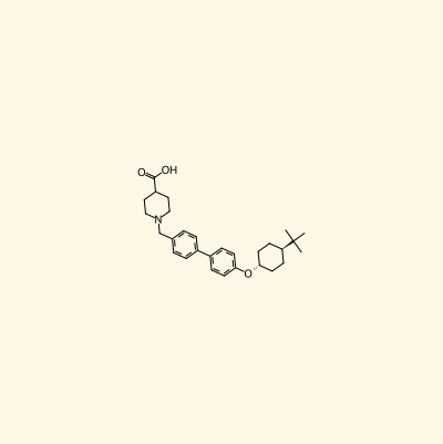 CC(C)(C)[C@H]1CC[C@H](Oc2ccc(-c3ccc(CN4CCC(C(=O)O)CC4)cc3)cc2)CC1